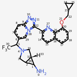 NC1C2CN(C(c3ccc4nnc(-c5ccc6cccc(OCC7CC7)c6n5)n4c3)C(F)(F)F)C[C@H]12